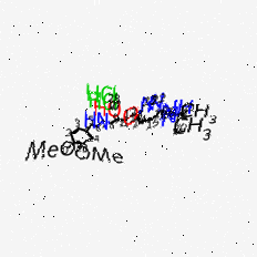 COc1ccc(CCNC[C@H](O)COc2ccc(NN=C(C)C)nn2)cc1OC.Cl.Cl